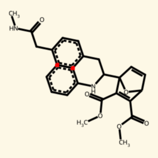 CNC(=O)Cc1ccc(CC(Nc2ccccc2)C23C=CC(O2)C(C(=O)OC)=C3C(=O)OC)cc1